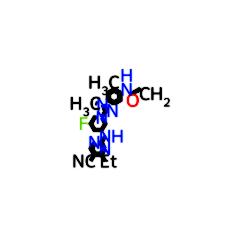 C=CC(=O)Nc1cc2nc(N3C[C@H](F)C[C@@H](Nc4ncc(C#N)c(CC)n4)C3)n(C)c2cc1C